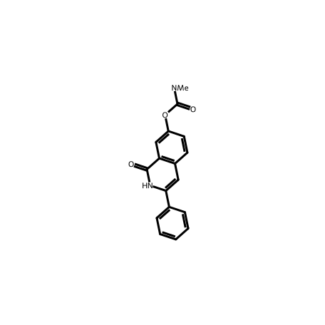 CNC(=O)Oc1ccc2cc(-c3ccccc3)[nH]c(=O)c2c1